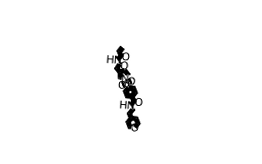 C=CC(=O)NC1CC2CN(S(=O)(=O)c3ccc(C(=O)NCCC4CCOCC4)cc3)CC2O1